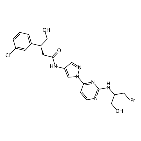 CC(C)CC(CO)Nc1nccc(-n2cc(NC(=O)C[C@H](CO)c3cccc(Cl)c3)cn2)n1